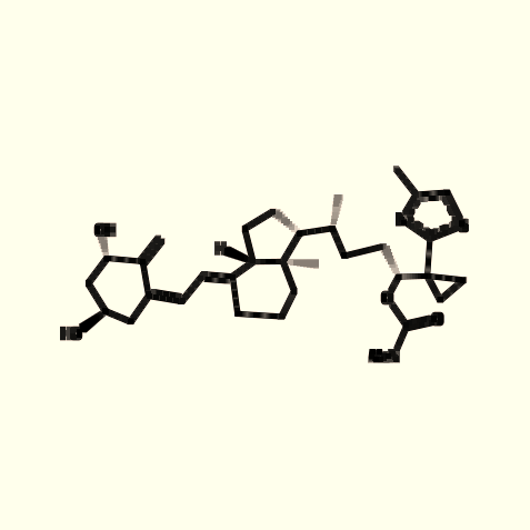 C=C1/C(=C\C=C2/CCC[C@]3(C)[C@@H]([C@H](C)CC[C@@H](OC(=O)NC)C4(c5nc(C)cs5)CC4)CC[C@@H]23)C[C@@H](O)C[C@@H]1O